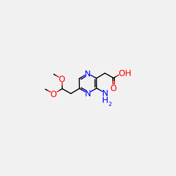 COC(Cc1cnc(CC(=O)O)c(N)n1)OC